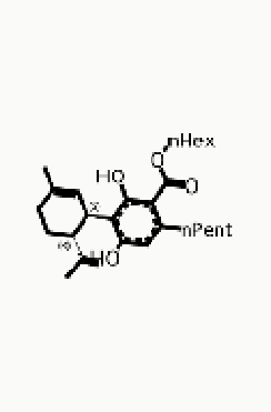 C=C(C)[C@@H]1CCC(C)=C[C@H]1c1c(O)cc(CCCCC)c(C(=O)OCCCCCC)c1O